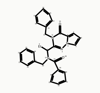 CCC(c1nn2cccc2c(=O)n1Cc1ccccc1)N(Cc1ccccc1)C(=O)c1ccccc1